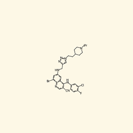 CC(C)N1CCC(CCn2cc(CNc3cc(Br)c4ncc(C#N)c(Nc5ccc(F)c(Cl)c5)c4c3)nn2)CC1